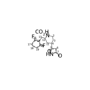 O=C(O)N1CCC(c2cc(=O)[nH]o2)CC1Cc1c(F)cccc1F